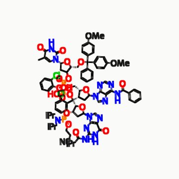 COc1ccc(C(OC[C@H]2O[C@@H](n3cc(C)c(=O)[nH]c3=O)C[C@@H]2OP(=O)(OC[C@@H]2O[C@@H](n3cnc4c(NC(=O)c5ccccc5)ncnc43)C[C@@H]2C(OP(=O)(O)O)(c2ccccc2Cl)[C@@H]2O[C@@H](n3cnc4c(=O)[nH]c(NC(=O)C(C)C)nc43)C[C@@H]2OP(OCCC#N)N(C(C)C)C(C)C)Oc2ccccc2Cl)(c2ccccc2)c2ccc(OC)cc2)cc1